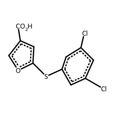 O=C(O)c1coc(Sc2cc(Cl)cc(Cl)c2)c1